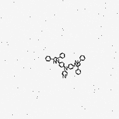 c1ccc(-c2cc(-c3ccccc3)n(-c3ccc(N(c4ccncc4)c4ccc(-n5nc(-c6ccccc6)cc5-c5ccccc5)cc4)cc3)n2)cc1